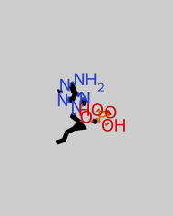 CCCC1CC1(Cn1cnc2c(N)ncnc21)OCP(=O)(O)O